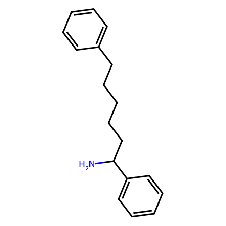 NC(CCCCCc1ccccc1)c1ccccc1